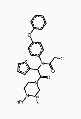 CCCN1CCN(C(=O)C(c2cccs2)N(C(=O)CCl)c2ccc(Oc3ccccc3)cc2)C[C@@H]1C